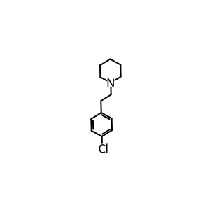 Clc1ccc(CCN2CCCCC2)cc1